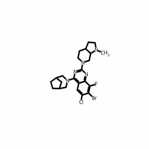 CN1CCC2CCN(c3nc(N4CC5CCC(C5)C4)c4cc(Cl)c(Br)c(F)c4n3)CC21